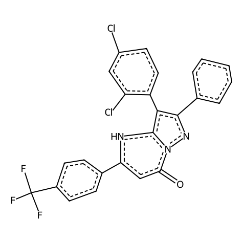 O=c1cc(-c2ccc(C(F)(F)F)cc2)[nH]c2c(-c3ccc(Cl)cc3Cl)c(-c3ccccc3)nn12